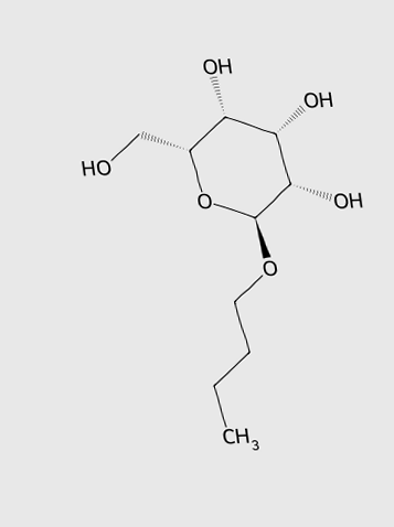 CCCCO[C@H]1O[C@H](CO)[C@H](O)[C@H](O)[C@@H]1O